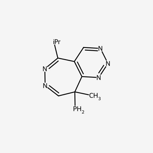 CC(C)C1=NN=CC(C)(P)c2nnncc21